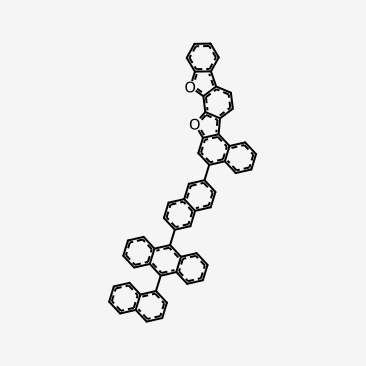 c1ccc2c(-c3c4ccccc4c(-c4ccc5cc(-c6cc7oc8c(ccc9c%10ccccc%10oc98)c7c7ccccc67)ccc5c4)c4ccccc34)cccc2c1